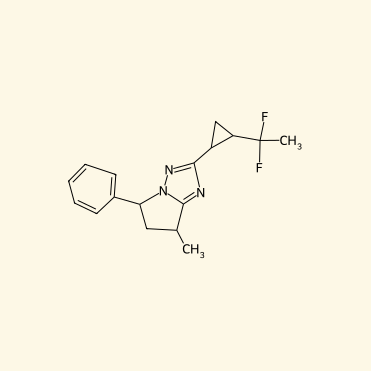 CC1CC(c2ccccc2)n2nc(C3CC3C(C)(F)F)nc21